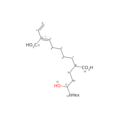 C=C/C(=C/CCCCC(CCC(O)CCCCCC)C(=O)O)C(=O)O